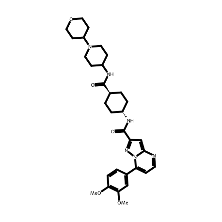 COc1ccc(-c2ccnc3cc(C(=O)N[C@H]4CC[C@H](C(=O)NC5CCN(C6CCOCC6)CC5)CC4)nn23)cc1OC